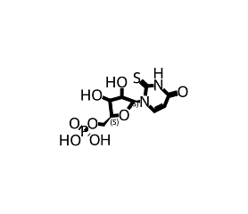 O=c1ccn([C@H]2O[C@@H](COP(=O)(O)O)C(O)C2O)c(=S)[nH]1